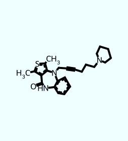 Cc1sc(C)c2c1C(=O)Nc1ccccc1N2CC#CCCCN1CCCCC1